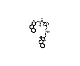 O=C(NCc1cc2c(ccc3ccccc32)cn1)c1coc(CCNCCc2nc3c(cnc4ccccc43)[nH]2)n1